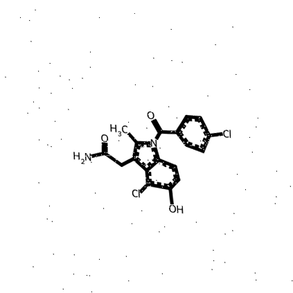 Cc1c(CC(N)=O)c2c(Cl)c(O)ccc2n1C(=O)c1ccc(Cl)cc1